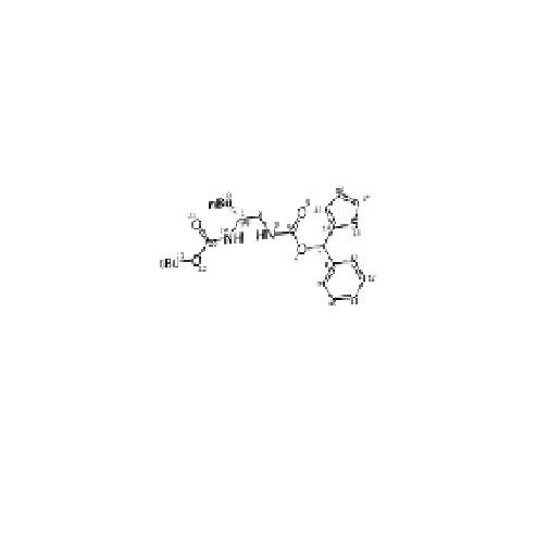 CCCC[C@H](CNC(=O)OC(c1ccccc1)c1cccs1)NC(=O)OC(C)(C)C